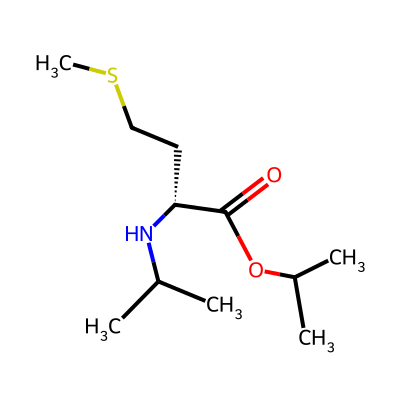 CSCC[C@@H](NC(C)C)C(=O)OC(C)C